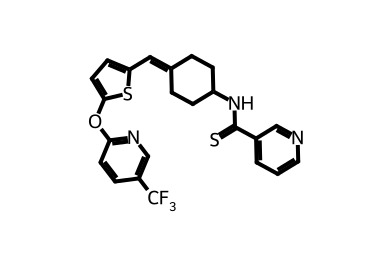 FC(F)(F)c1ccc(Oc2ccc(C=C3CCC(NC(=S)c4cccnc4)CC3)s2)nc1